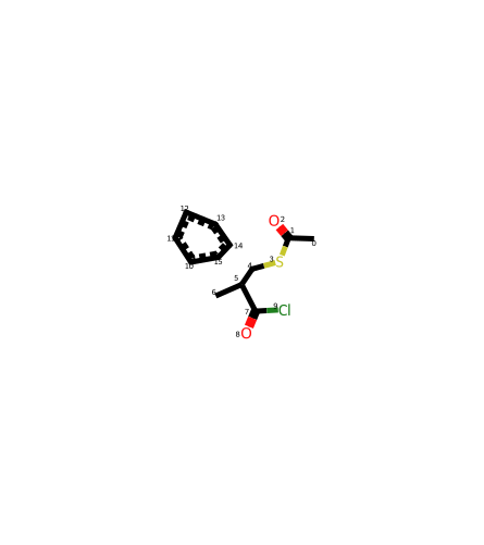 CC(=O)SCC(C)C(=O)Cl.c1ccccc1